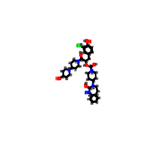 O=C(O[C@H](Cc1ccc(O)c(Cl)c1)C(=O)N1CCC(N2CCC(O)CC2)CC1)N1CCC(N2CCc3ccccc3NC2=O)CC1